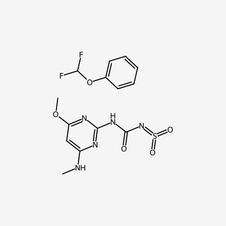 CNc1cc(OC)nc(NC(=O)N=S(=O)=O)n1.FC(F)Oc1ccccc1